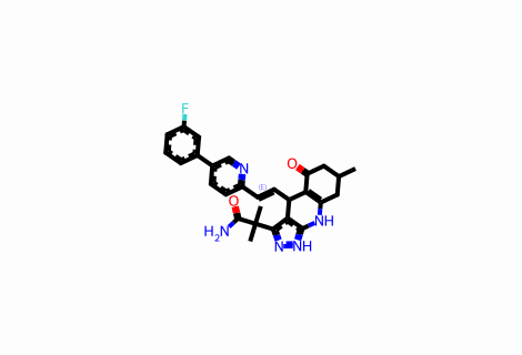 CC1CC(=O)C2=C(C1)Nc1[nH]nc(C(C)(C)C(N)=O)c1C2/C=C/c1ccc(-c2cccc(F)c2)cn1